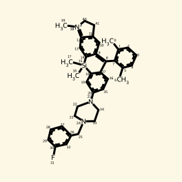 Cc1cccc(C)c1C1=c2cc3c(cc2[Si](C)(C)c2cc(N4CCN(Cc5cccc(F)c5)CC4)ccc21)=[N+](C)CC3